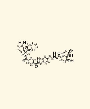 NCCC1CCCC[C@@H]1OC(=O)C1(c2ccccc2)CN(C(=O)c2ccc(C(=O)NCc3ccc(CCNC[C@H](O)c4ccc(O)c5[nH]c(=O)ccc45)cc3)cc2)C1